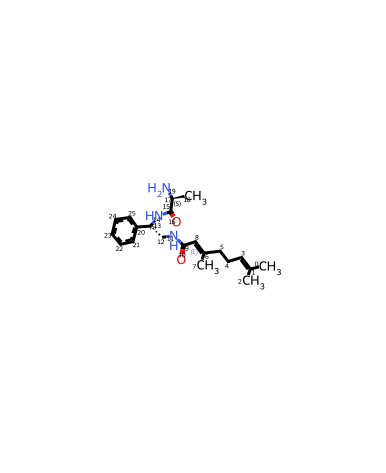 CC(C)=CCC/C(C)=C/C(=O)NC[C@@H](NC(=O)[C@H](C)N)c1ccccc1